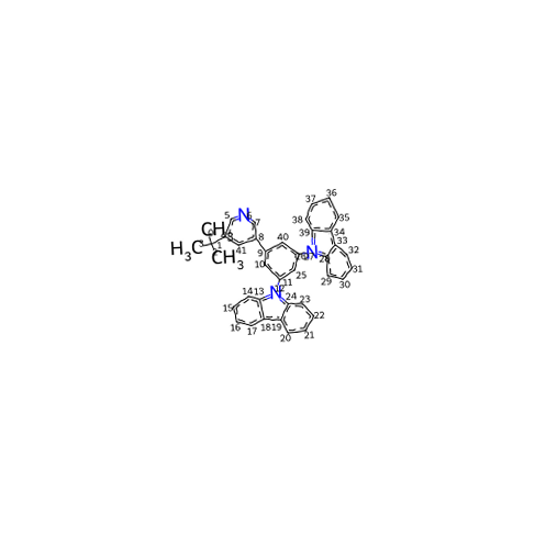 CC(C)(C)c1cncc(-c2cc(-n3c4ccccc4c4ccccc43)cc(-n3c4ccccc4c4ccccc43)c2)c1